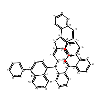 c1ccc(-c2ccc(N(c3ccc4c(c3)sc3c5ccccc5ccc43)c3ccccc3-c3cc4ccccc4c4ccccc34)c3ccccc23)cc1